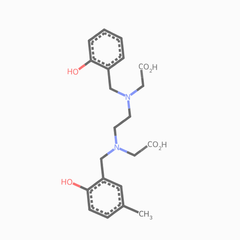 Cc1ccc(O)c(CN(CCN(CC(=O)O)Cc2ccccc2O)CC(=O)O)c1